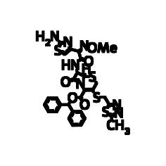 CO/N=C(\C(=O)N[C@@H]1C(=O)N2C(C(=O)OC(c3ccccc3)c3ccccc3)=C(SCc3nnc(C)s3)CS[C@@H]12)c1csc(N)n1